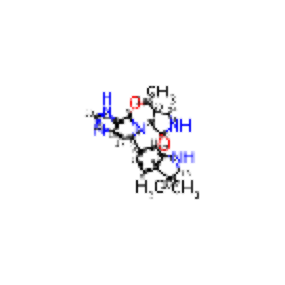 C[C@@H](Oc1nc(-c2ccc3c(c2)NCC3(C)C)cc2nc[nH]c12)[C@H]1CNC(=O)C1